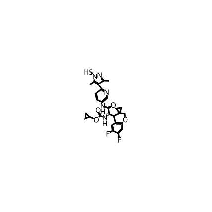 Cc1nn(S)c(C)c1-c1ccc(NC(=O)[C@@H](NC(=O)OC2CC2)C2c3cc(F)c(F)cc3OCC23CC3)cn1